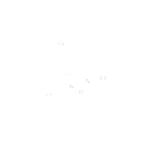 CN(CCC1CCCO1)C(=O)c1c(-c2ccc(Cl)cc2)cc(C(F)(F)F)n1Cc1ccccc1